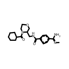 C/N=C(\N)c1ccc(C(=O)NCC2COCCN2C(=O)C2CCCCC2)cc1